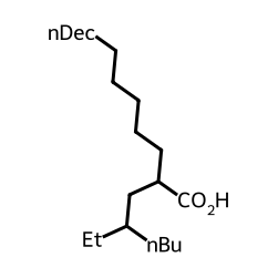 CCCCCCCCCCCCCCCC(CC(CC)CCCC)C(=O)O